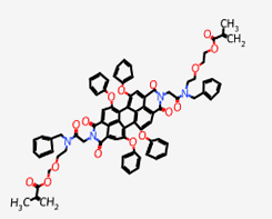 C=C(C)C(=O)OCCOCCN(Cc1ccccc1)C(=O)CN1C(=O)c2cc(Oc3ccccc3)c3c4c(Oc5ccccc5)cc5c6c(cc(Oc7ccccc7)c(c7c(Oc8ccccc8)cc(c2c37)C1=O)c64)C(=O)N(CC(=O)N(CCOCOC(=O)C(=C)C)Cc1ccccc1)C5=O